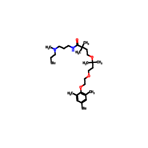 Cc1cc(C(C)(C)C)cc(C)c1OCCOCCC(C)(C)OCCC(C)(C)C(=O)NCCCN(C)CCC(C)(C)C